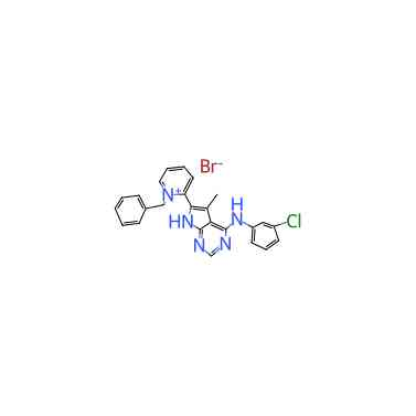 Cc1c(-c2cccc[n+]2Cc2ccccc2)[nH]c2ncnc(Nc3cccc(Cl)c3)c12.[Br-]